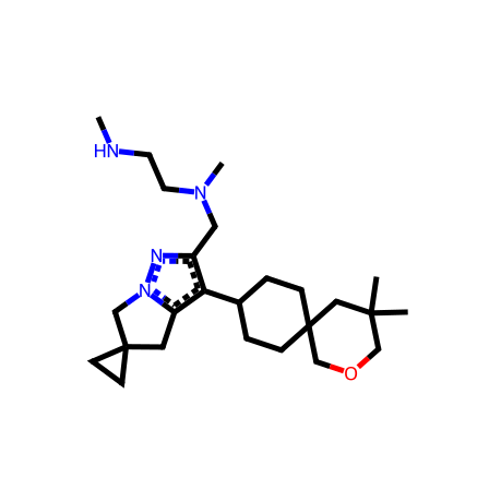 CNCCN(C)Cc1nn2c(c1C1CCC3(CC1)COCC(C)(C)C3)CC1(CC1)C2